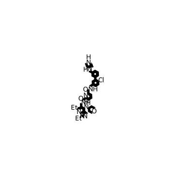 CCc1nc2c(cnn2CC)c(NC2CCOCC2)c1CNC(=O)c1cccc(C(=O)NCc2ccc(Cl)c(-c3cccc(CN4CC5C[C@@H]4CN5)c3)c2)n1